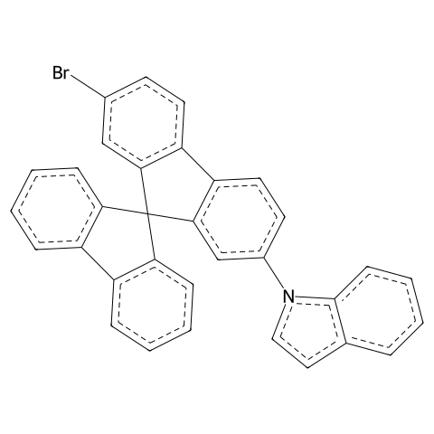 Brc1ccc2c(c1)C1(c3ccccc3-c3ccccc31)c1cc(-n3ccc4ccccc43)ccc1-2